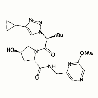 COc1cncc(CNC(=O)[C@@H]2C[C@@H](O)CN2C(=O)[C@@H](n2cc(C3CC3)nn2)C(C)(C)C)n1